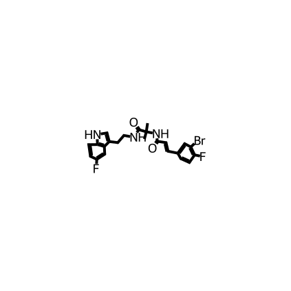 CC(C)(NC(=O)/C=C/c1ccc(F)c(Br)c1)C(=O)NCCc1c[nH]c2ccc(F)cc12